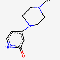 CC(C)N1CCN(c2cc[nH]c(=O)c2)CC1